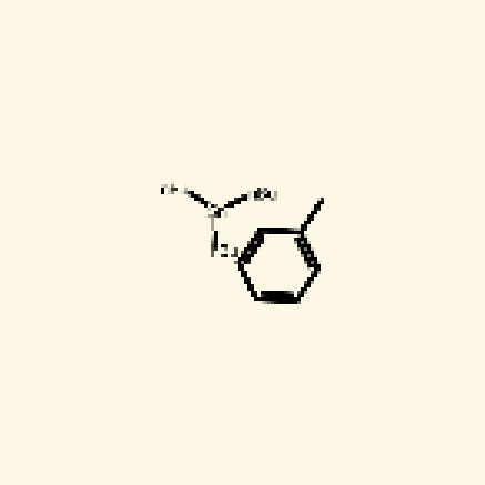 CCC[CH2][SnH]([CH2]CCC)[CH2]CCC.Cc1ccccc1